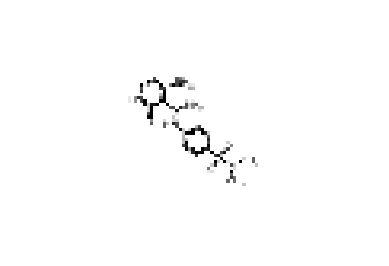 CN(C)S(=O)(=O)c1ccc(NC(N)c2c(N)cc[nH]c2=O)cc1